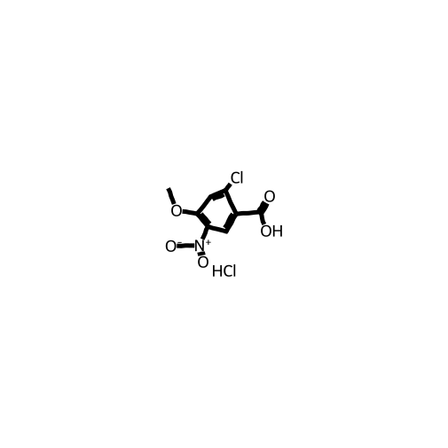 COc1cc(Cl)c(C(=O)O)cc1[N+](=O)[O-].Cl